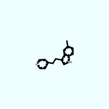 Cc1ccc2[nH]cc(CCc3ccncc3)c2c1